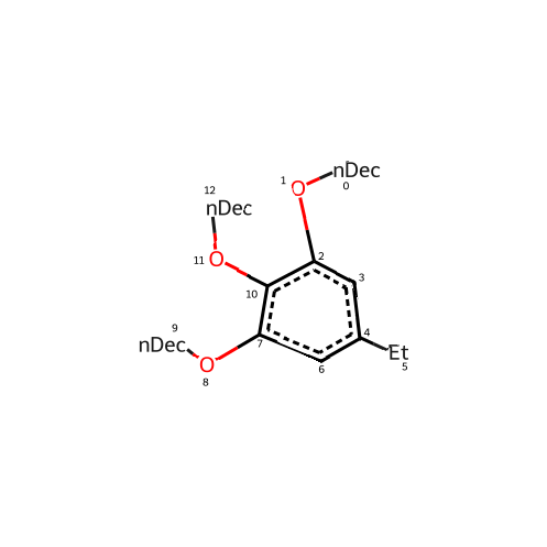 CCCCCCCCCCOc1cc(CC)cc(OCCCCCCCCCC)c1OCCCCCCCCCC